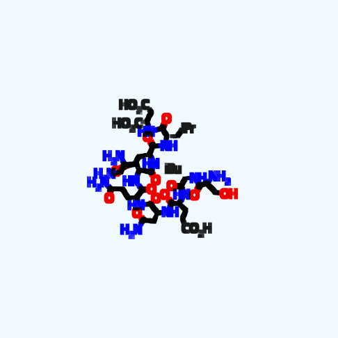 CC[C@H](C)[C@H](NC(=O)[C@@H](N)CO)C(=O)N[C@@H](CCC(=O)O)C(=O)N[C@@H](CC(N)=O)C(=O)N[C@@H](CCC(N)=O)C(=O)N[C@@H](CC(N)=O)C(=O)N[C@@H](CCCCN)C(=O)N[C@@H](CC(C)C)C(=O)N[C@@H](CC(=O)O)C(=O)O